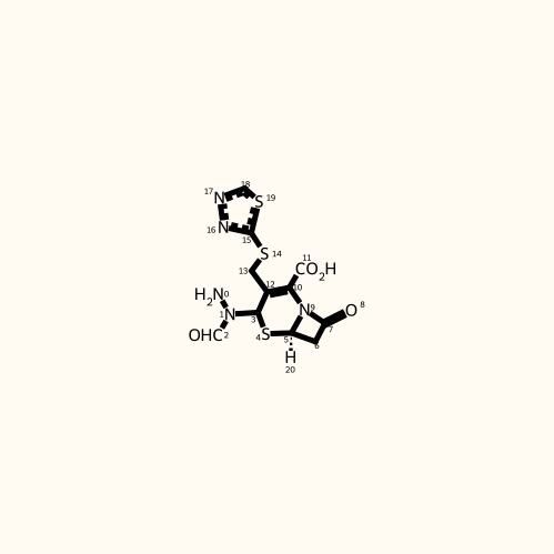 NN(C=O)C1S[C@@H]2CC(=O)N2C(C(=O)O)=C1CSc1nncs1